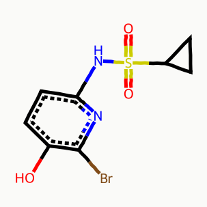 O=S(=O)(Nc1ccc(O)c(Br)n1)C1CC1